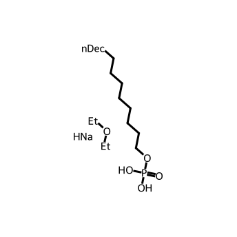 CCCCCCCCCCCCCCCCCCOP(=O)(O)O.CCOCC.[NaH]